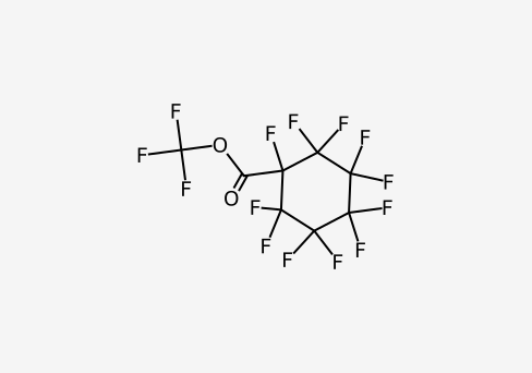 O=C(OC(F)(F)F)C1(F)C(F)(F)C(F)(F)C(F)(F)C(F)(F)C1(F)F